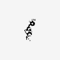 Cc1sc2nc(Cc3cccc(C#N)c3F)cc(=O)n2c1C(=O)NCC(F)(F)F